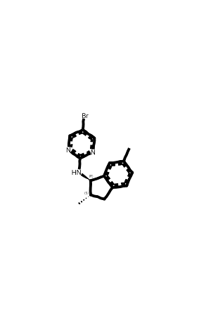 Cc1ccc2c(c1)[C@H](Nc1ncc(Br)cn1)[C@@H](C)C2